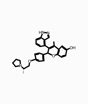 CC1=C(c2cccc3[nH]ncc23)C(c2ccc(OC[C@H](C)N3CCCC3)cc2)Oc2ccc(O)cc21